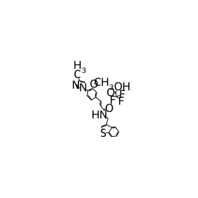 COc1cc(C=CC(=O)NCc2csc3ccccc23)ccc1-n1cnc(C)c1.O=C(O)C(F)(F)F